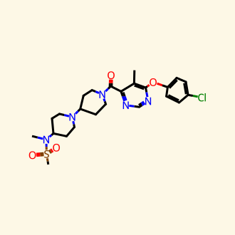 Cc1c(Oc2ccc(Cl)cc2)ncnc1C(=O)N1CCC(N2CCC(N(C)S(C)(=O)=O)CC2)CC1